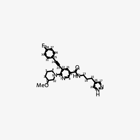 COC1CCCN(c2ncc(C(=O)NCCCc3cn[nH]c3)cc2C#Cc2ccc(F)cc2)C1